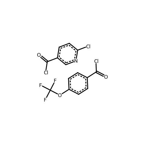 O=C(Cl)c1ccc(Cl)nc1.O=C(Cl)c1ccc(OC(F)(F)F)cc1